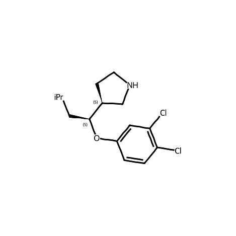 CC(C)C[C@H](Oc1ccc(Cl)c(Cl)c1)[C@H]1CCNC1